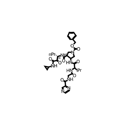 CCC[C@H](NC(=O)C1CN(C(=O)OCc2ccccc2)CC1NC(=O)C(NC(=O)CNC(=O)c1cnccn1)C(C)C)C(=O)C(=O)NC1CC1